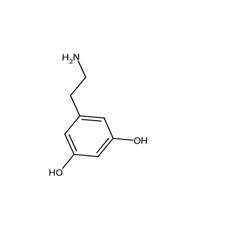 NCCc1cc(O)cc(O)c1